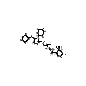 O=C(CSc1nnc(Cc2ccccc2)n1C1CCCCC1)NNC(=O)c1ccccc1O